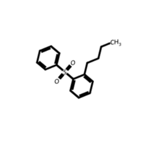 CCCCc1ccccc1S(=O)(=O)c1ccccc1